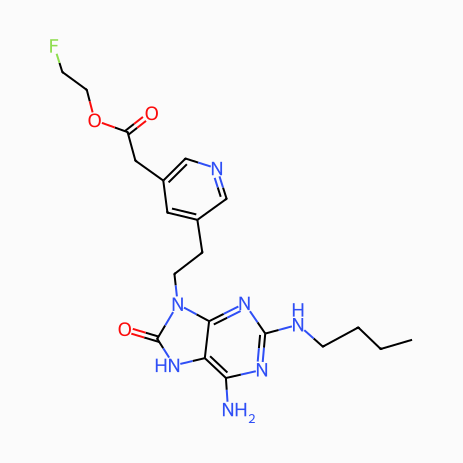 CCCCNc1nc(N)c2[nH]c(=O)n(CCc3cncc(CC(=O)OCCF)c3)c2n1